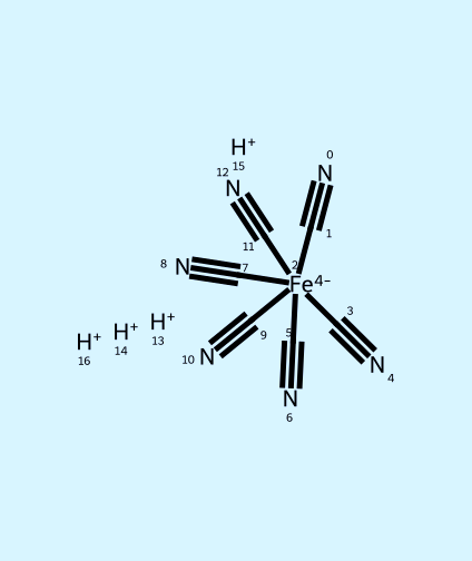 N#[C][Fe-4]([C]#N)([C]#N)([C]#N)([C]#N)[C]#N.[H+].[H+].[H+].[H+]